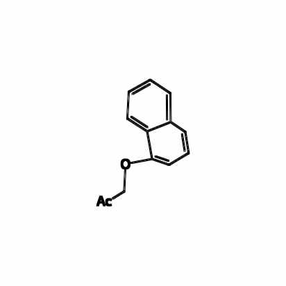 CC(=O)COc1cccc2ccccc12